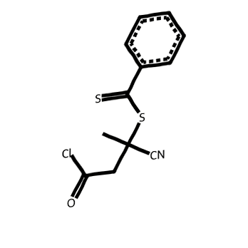 CC(C#N)(CC(=O)Cl)SC(=S)c1ccccc1